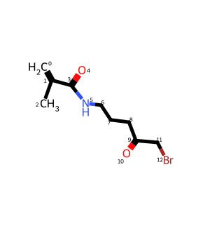 C=C(C)C(=O)NCCCC(=O)CBr